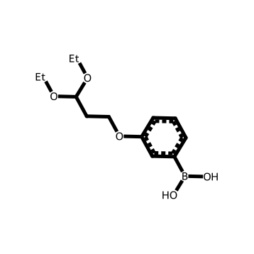 CCOC(CCOc1cccc(B(O)O)c1)OCC